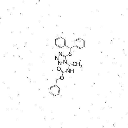 CC(NC(=O)OCc1ccccc1)n1nnnc1SC(c1ccccc1)c1ccccc1